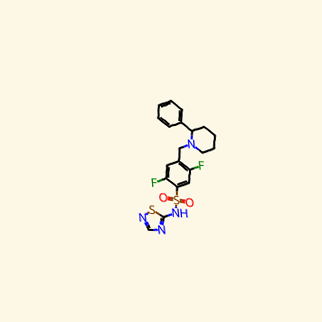 O=S(=O)(Nc1ncns1)c1cc(F)c(CN2CCCCC2c2ccccc2)cc1F